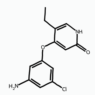 CCc1c[nH]c(=O)cc1Oc1cc(N)cc(Cl)c1